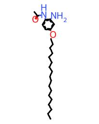 CCCCCCCCCCCCCCCCCCOc1ccc(NC(C)=O)c(N)c1